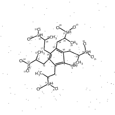 CCCCc1c(CC(C)[SiH](Cl)Cl)c(CC(C)[SiH](Cl)Cl)c(CC(C)[SiH](Cl)Cl)c(CC(C)[SiH](Cl)Cl)c1CC(C)[SiH](Cl)Cl